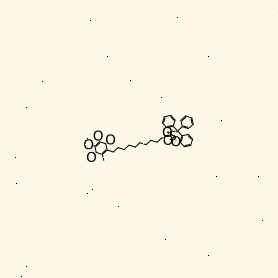 COC1=C(OC)C(=O)C(CCCCCCCCCCOS(=O)(=O)C(c2ccccc2)(c2ccccc2)c2ccccc2)=C(C)C1=O